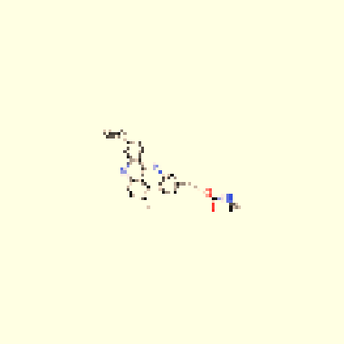 COc1ccc2c(Nc3cccc(CCOC(=O)NC(C)C)c3)c3cc(C)ccc3nc2c1